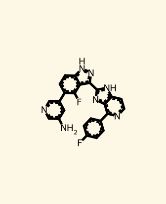 Nc1cncc(-c2ccc3[nH]nc(-c4nc5c(-c6ccc(F)cc6)nccc5[nH]4)c3c2F)c1